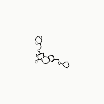 O=c1nc(OCC2COCCO2)cc2n1CCc1cc(COC3CCCCC3)ccc1-2